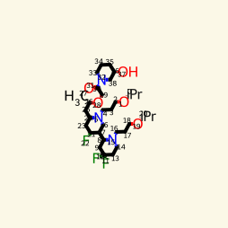 CC(C)OCCCN1CC(C2CC(F)(F)CCN2CCCOC(C)C)C(F)CC1CC(C)OCC(=O)N1CCC[C@H](O)C1